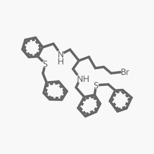 BrCCCCC(CNCc1ccccc1SCc1ccccc1)CNCc1ccccc1SCc1ccccc1